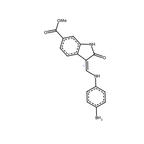 Bc1ccc(N/C=C2\C(=O)Nc3cc(C(=O)OC)ccc32)cc1